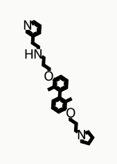 Cc1c(OCCCNCCc2cccnc2)cccc1-c1cccc(OCCCN2CCCC2)c1C